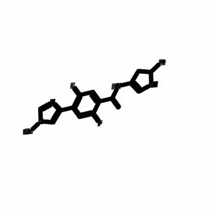 CCC1CC(NC(C)c2cc(F)c(-c3cn(C(C)(C)C)cn3)cc2F)=CN1